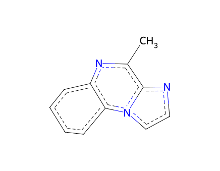 Cc1nc2ccccc2n2ccnc12